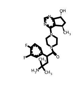 C[C@@H]1C[C@@H](O)c2ncnc(N3CCN(C(=O)C(CC(C)(C)N)c4ccc(F)c(F)c4)CC3)c21